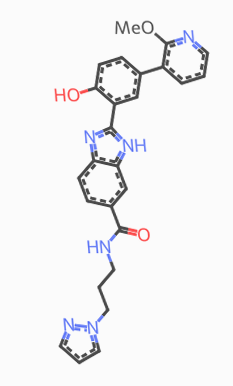 COc1ncccc1-c1ccc(O)c(-c2nc3ccc(C(=O)NCCCn4cccn4)cc3[nH]2)c1